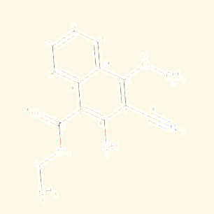 CCOC(=O)c1c(O)c(C#N)c(OC)c2ccccc12